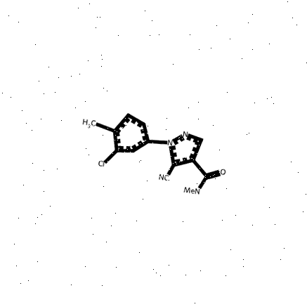 CNC(=O)c1cnn(-c2ccc(C)c(Cl)c2)c1C#N